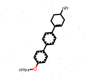 CCCCCCOc1ccc(-c2ccc(C3=CCC(CCC)CC3)cc2)cc1